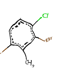 Cc1c(Br)c[c]c(Cl)c1Br